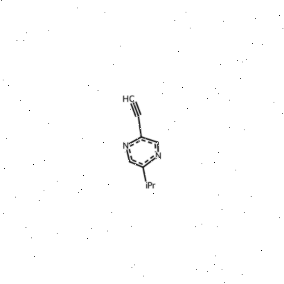 C#Cc1cnc(C(C)C)cn1